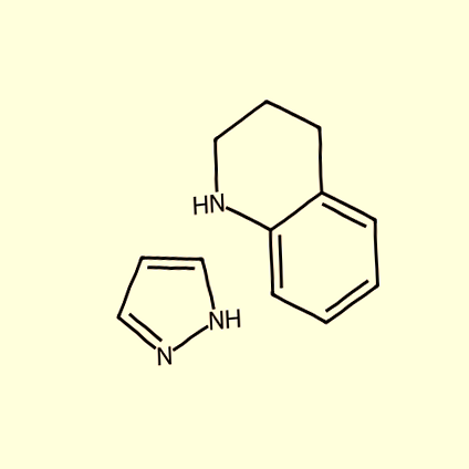 c1ccc2c(c1)CCCN2.c1cn[nH]c1